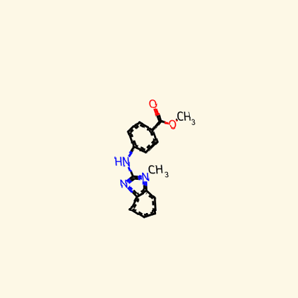 COC(=O)c1ccc(Nc2nc3ccccc3n2C)cc1